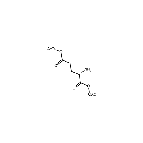 CC(=O)OOC(=O)CC[C@H](N)C(=O)OOC(C)=O